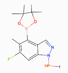 Cc1c(F)cc2c(cnn2PI)c1B1OC(C)(C)C(C)(C)O1